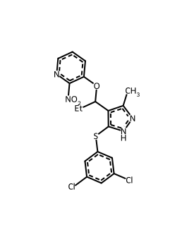 CCC(Oc1cccnc1[N+](=O)[O-])c1c(C)n[nH]c1Sc1cc(Cl)cc(Cl)c1